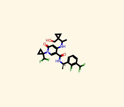 CC(Nc1cc(=O)n(C2(C(F)F)CC2)cc1C(=O)N[C@H](C)c1cccc(C(F)F)c1F)C1(CO)CC1